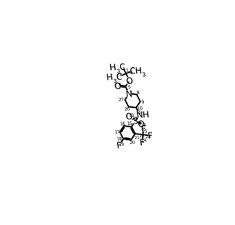 CC(C)(C)OC(=O)N1CCC(NS(=O)(=O)c2ccc(F)cc2C(F)(F)F)CC1